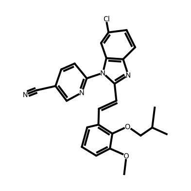 COc1cccc(/C=C/c2nc3ccc(Cl)cc3n2-c2ccc(C#N)cn2)c1OCC(C)C